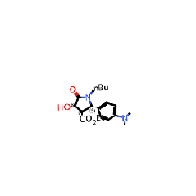 CCCCN1C(=O)[C@@H](O)[C@H](C(=O)OCC)[C@H]1c1ccc(N(C)C)cc1